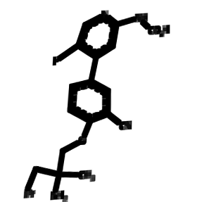 CC(C)CC(C)(N)COc1ccc(-c2cc(NC(=O)O)ncc2F)cc1C#N